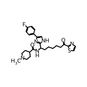 CN1CCC(C(=O)NC(CCCCCC(=O)c2nccs2)c2nc(-c3ccc(F)cc3)c[nH]2)CC1